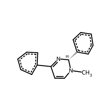 CN1C=CC(c2ccccc2)=N[C@@H]1c1ccccc1